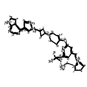 OC[C@@H]1CCCN1Cc1cc(OC2CCN(C3C[C](n4cc(-c5ncnc6[nH]ccc56)cn4)C3)CC2)nc(C(F)(F)F)c1